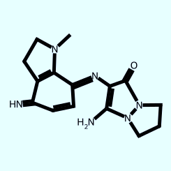 CN1CCC2=C1/C(=N/c1c(N)n3n(c1=O)CCC3)C=CC2=N